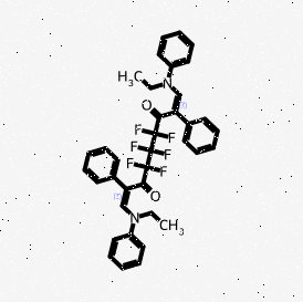 CCN(/C=C(\C(=O)C(F)(F)C(F)(F)C(F)(F)C(=O)/C(=C\N(CC)c1ccccc1)c1ccccc1)c1ccccc1)c1ccccc1